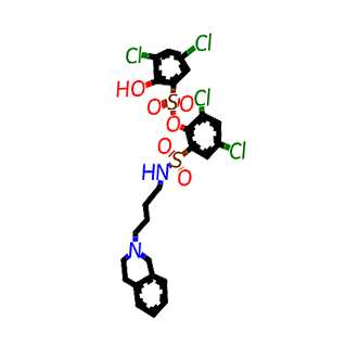 O=S(=O)(NCCCCN1CCc2ccccc2C1)c1cc(Cl)cc(Cl)c1OS(=O)(=O)c1cc(Cl)cc(Cl)c1O